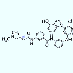 CN(C)C/C=C/C(=O)Nc1cccc(C(=O)Nc2cccc(Nc3ncc(Cl)c(-n4ccc5c(O)cccc54)n3)c2)c1